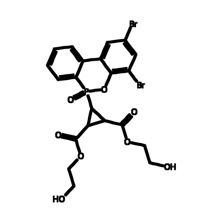 O=C(OCCO)C1C(C(=O)OCCO)C1P1(=O)Oc2c(Br)cc(Br)cc2-c2ccccc21